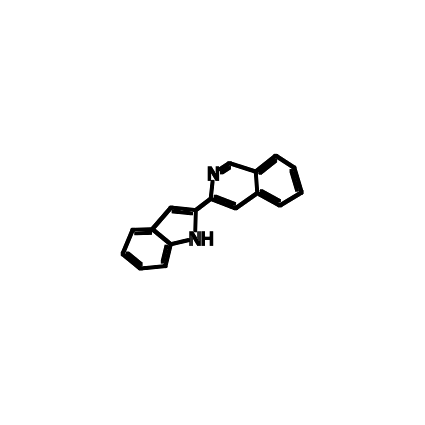 c1ccc2cc(-c3cc4ccccc4[nH]3)ncc2c1